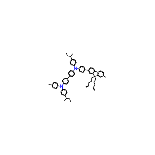 C=CCCCC1(CCCC=C)c2cc(C)ccc2-c2ccc(-c3ccc(N(c4ccc(-c5ccc(N(c6ccc(C)cc6)c6ccc(C(C)CC)cc6)cc5)cc4)c4ccc(C(C)CC)cc4)cc3)cc21